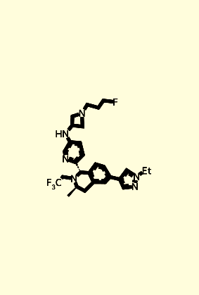 CCn1cc(-c2ccc3c(c2)C[C@@H](C)N(CC(F)(F)F)[C@@H]3c2ccc(NC3CN(CCCF)C3)cn2)cn1